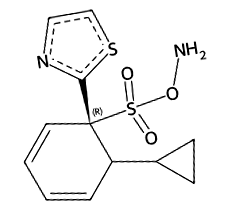 NOS(=O)(=O)[C@@]1(c2nccs2)C=CC=CC1C1CC1